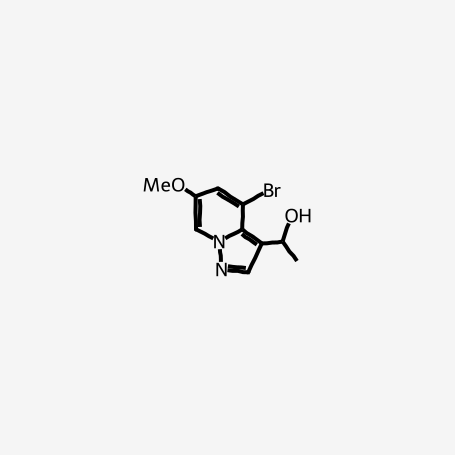 COc1cc(Br)c2c(C(C)O)cnn2c1